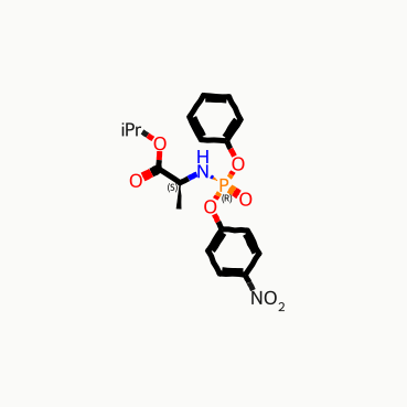 CC(C)OC(=O)[C@H](C)N[P@@](=O)(Oc1ccccc1)Oc1ccc([N+](=O)[O-])cc1